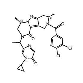 CC(c1cn(C2CC2)c(=O)cn1)N1C[C@@H](C)n2nc3c(c2C1=O)CN(C(=O)c1ccc(Cl)c(Cl)c1)[C@H](C)C3